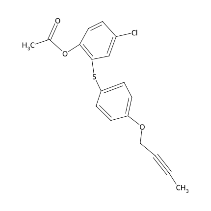 CC#CCOc1ccc(Sc2cc(Cl)ccc2OC(C)=O)cc1